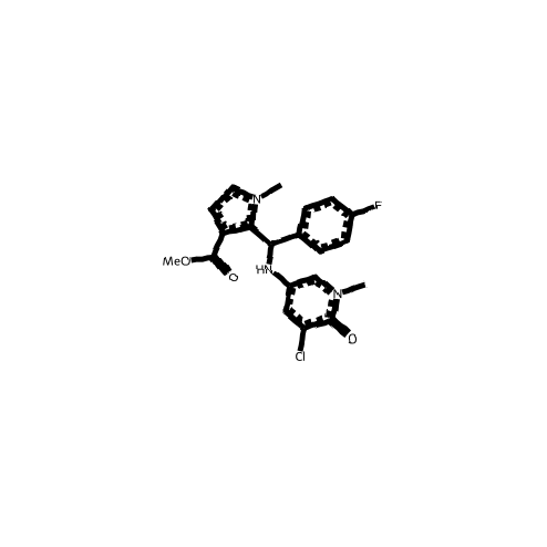 COC(=O)c1ccn(C)c1C(Nc1cc(Cl)c(=O)n(C)c1)c1ccc(F)cc1